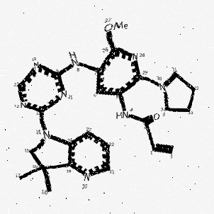 C=CC(=O)Nc1cc(Nc2ncnc(N3CC(C)(C)c4ncccc43)n2)c(OC)nc1N1CCCC1